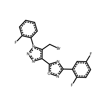 Fc1ccc(F)c(-c2noc(-c3nnn(-c4ccccc4F)c3CBr)n2)c1